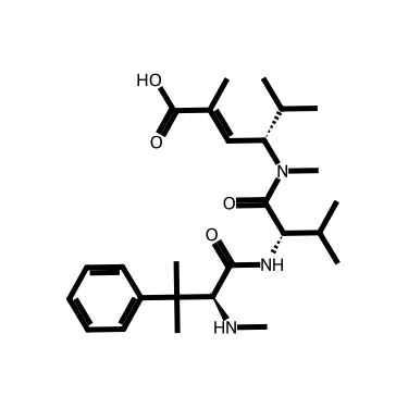 CN[C@H](C(=O)N[C@H](C(=O)N(C)[C@H](/C=C(\C)C(=O)O)C(C)C)C(C)C)C(C)(C)c1ccccc1